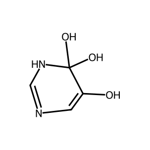 OC1=CN=CNC1(O)O